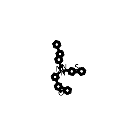 c1ccc(-c2ccc3cc(-c4nc(-c5cccc(-c6ccc7oc8ccccc8c7c6)c5)nc(-c5ccc6c(c5)sc5ccccc56)n4)ccc3c2)cc1